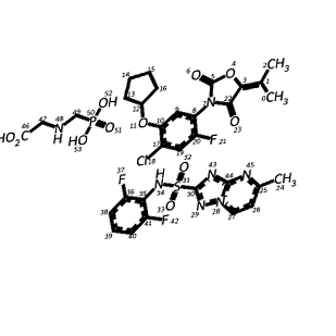 CC(C)=C1OC(=O)N(c2cc(OC3CCCC3)c(Cl)cc2F)C1=O.Cc1ccn2nc(S(=O)(=O)Nc3c(F)cccc3F)nc2n1.O=C(O)CNCP(=O)(O)O